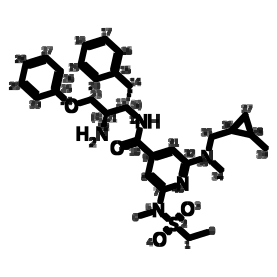 CCS(=O)(=O)N(C)c1cc(C(=O)N[C@@H](Cc2ccccc2)[C@@H](N)COc2ccccc2)cc(N(C)CC2CC2C)n1